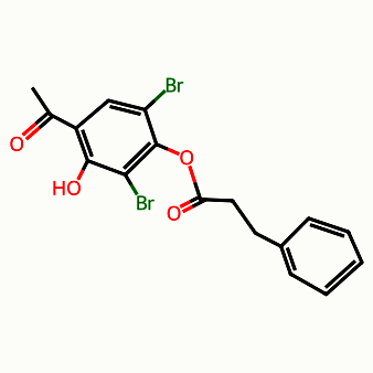 CC(=O)c1cc(Br)c(OC(=O)CCc2ccccc2)c(Br)c1O